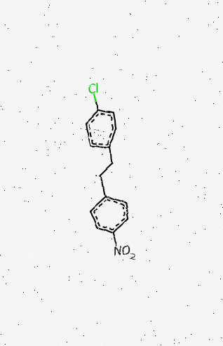 O=[N+]([O-])c1ccc([CH]Cc2ccc(Cl)cc2)cc1